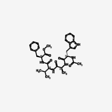 COC(=O)[C@H](Cc1ccccc1)NC(=O)[C@@H](NC(=O)[C@H](C)NC(=O)[C@H](Cc1c[nH]c2ccccc12)NC(C)=O)C(C)C